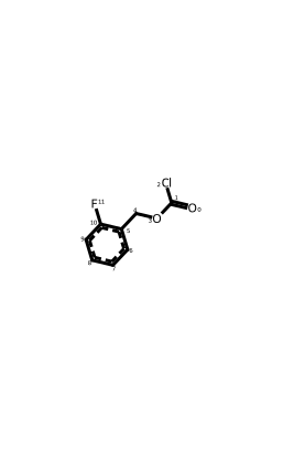 O=C(Cl)OCc1ccccc1F